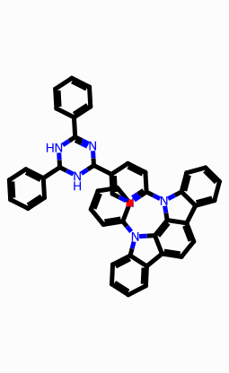 C1=CCCC(n2c3ccccc3c3ccc4c5ccccc5n(-c5ccc(C6N=C(c7ccccc7)NC(c7ccccc7)N6)cn5)c4c32)=C1